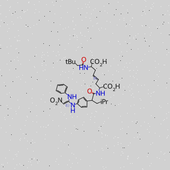 CC(C)CC(C(=O)NC(C/C=C/CC(NC(=O)CC(C)(C)C)C(=O)O)C(=O)O)c1ccc(N/C(=C/[N+](=O)[O-])Nc2ccccc2)cc1